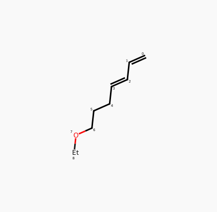 C=CC=CCCCOCC